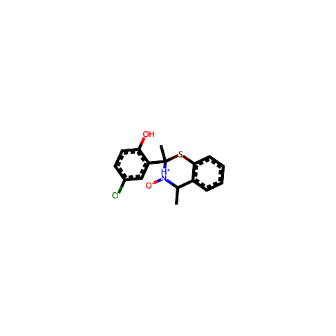 CC1c2ccccc2SC(C)(c2cc(Cl)ccc2O)[NH+]1[O-]